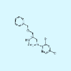 O=C(O)N[C@@H](COCc1ccccc1)COc1ncc(Cl)cc1Br